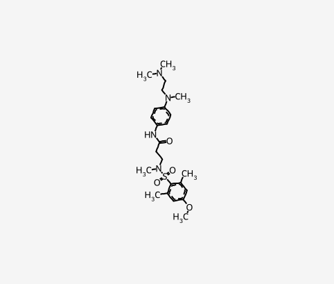 COc1cc(C)c(S(=O)(=O)N(C)CCC(=O)Nc2ccc(N(C)CCN(C)C)cc2)c(C)c1